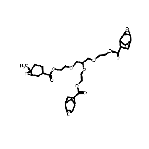 CC12CCC(C(=O)OCCOCC(COCCOC(=O)C3CC4CC3C3OC43)OCCOC(=O)C3CC4CC3C3OC43)CC1O2